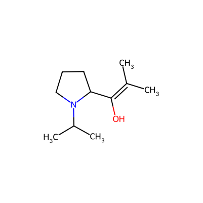 CC(C)=C(O)C1CCCN1C(C)C